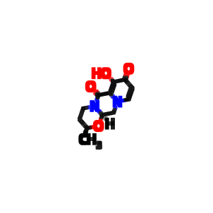 C[C@H]1CCN2C(=O)c3c(O)c(=O)ccn3C[C@H]2O1